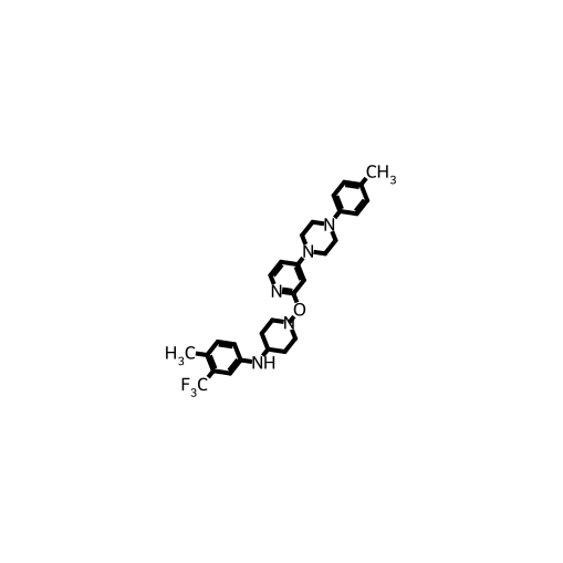 Cc1ccc(N2CCN(c3ccnc(ON4CCC(Nc5ccc(C)c(C(F)(F)F)c5)CC4)c3)CC2)cc1